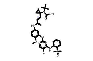 COc1ccc(NC(=O)/C=C/C2(N(C(=O)O)C(C)(C)C)CC2)cc1Nc1ncc(Cl)c(Nc2ccccc2P(C)(C)=O)n1